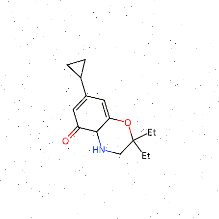 CCC1(CC)CNC2C(=O)C=C(C3CC3)C=C2O1